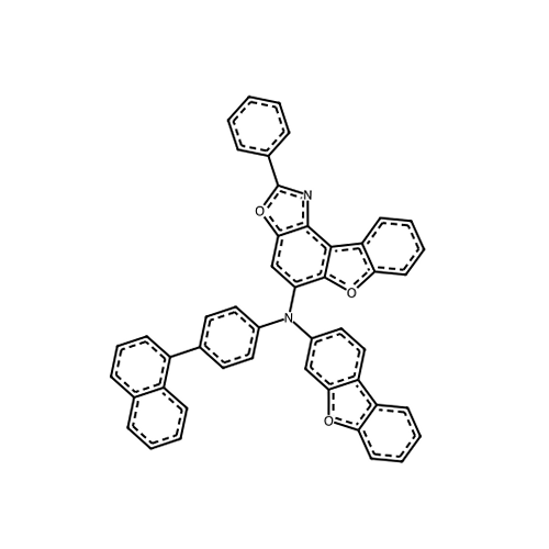 c1ccc(-c2nc3c(cc(N(c4ccc(-c5cccc6ccccc56)cc4)c4ccc5c(c4)oc4ccccc45)c4oc5ccccc5c43)o2)cc1